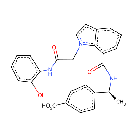 C[C@H](NC(=O)c1cccc2ccn(CC(=O)Nc3ccccc3O)c12)c1ccc(C(=O)O)cc1